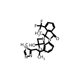 CC(Cc1nncn1C)c1cccc(N2C(=O)c3cccc(C(F)(F)F)c3C2(C)N2CC(C)(O)C2)c1